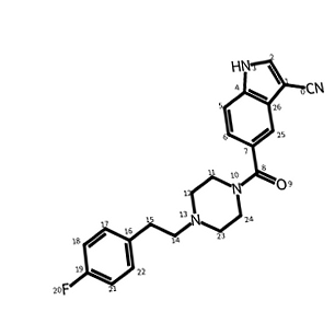 N#Cc1c[nH]c2ccc(C(=O)N3CCN(CCc4ccc(F)cc4)CC3)cc12